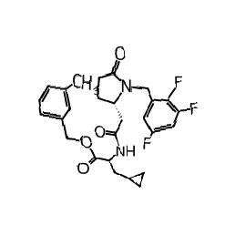 Cc1cccc(COC(=O)[C@H](CC2CC2)NC(=O)C[C@@H]2CCC(=O)N2Cc2cc(F)cc(F)c2F)c1